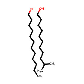 CC(C)CCCCCCCCCO.CCCCCCCCCCCCO